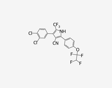 N#Cc1c(-c2ccc(OC(F)(F)C(F)F)cc2)[nH]c(C(F)(F)F)c1-c1ccc(Cl)c(Cl)c1